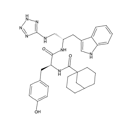 O=C(N[C@H](CNc1nn[nH]n1)Cc1c[nH]c2ccccc12)[C@H](Cc1ccc(O)cc1)NC(=O)C12CCCC(CCC1)C2